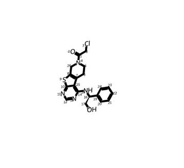 O=C(CCl)N1CCc2c(sc3ncnc(N[C@H](CO)c4ccccc4)c23)C1